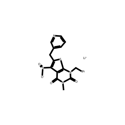 CC(C)Cn1c(=O)n(C)c(=O)c2c(S(=O)[O-])c(Cc3cccnc3)sc21.[Li+]